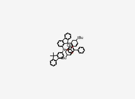 CC1(C)c2ccccc2-c2ccc(N(c3ccc(-c4ccccc4)cc3)c3cccc4c3C(O)(C3=C(C5=CCC(C(C)(C)C)C=C5)C=CC(C(C)(C)C)C3)c3ccccc3-4)cc21